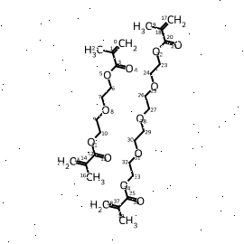 C=C(C)C(=O)OCCOCCOC(=O)C(=C)C.C=C(C)C(=O)OCCOCCOCCOCCOC(=O)C(=C)C